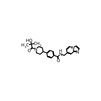 CC(C)(O)C(=O)N1CCC(c2ccc(C(=O)NCc3ccn4ccnc4c3)cc2)CC1